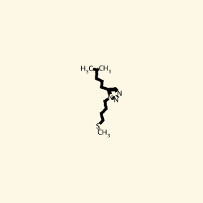 CSCCCCn1nncc1CCCC(C)C